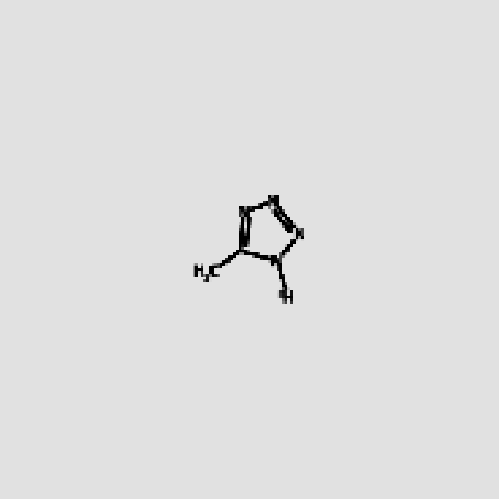 [3H]n1nnnc1C